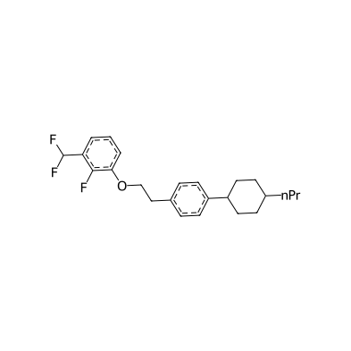 CCCC1CCC(c2ccc(CCOc3cccc(C(F)F)c3F)cc2)CC1